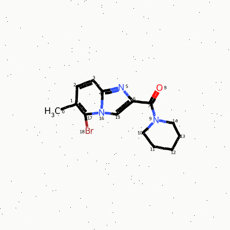 Cc1ccc2nc(C(=O)N3CCCCC3)cn2c1Br